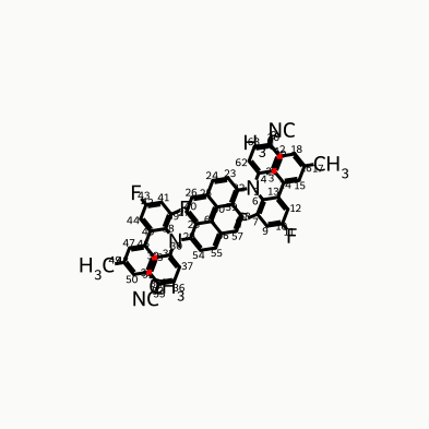 [C-]#[N+]c1ccc(N(c2c(F)cc(F)cc2-c2cc(C)cc(C)c2)c2ccc3ccc4c(N(c5ccc(C#N)cc5)c5c(F)cc(F)cc5-c5cc(C)cc(C)c5)ccc5ccc2c3c54)cc1